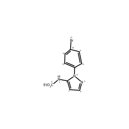 CCOC(=O)Nc1ccnn1-c1ccc(Br)cc1